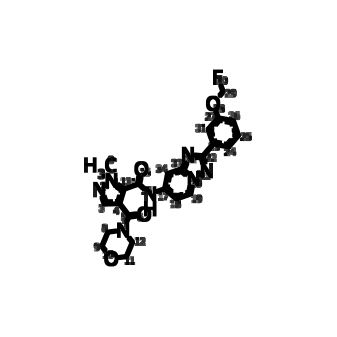 Cn1ncc(C(=O)N2CCOCC2)c1C(=O)Nc1ccn2nc(-c3cccc(OCF)c3)nc2c1